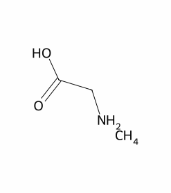 C.NCC(=O)O